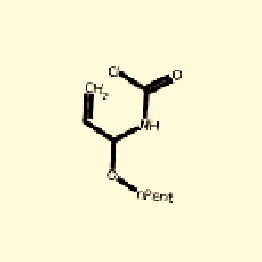 C=CC(NC(=O)Cl)OCCCCC